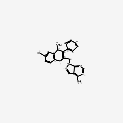 Nc1ncnc2c1cnn2CC1=C(c2ccccc2)C(C=O)c2cc(Br)ccc2O1